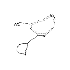 N#Cc1cnccc1C1CC1